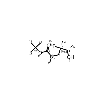 C[C@H](O)[C@](C)(F)CN(C)C(=O)OC(C)(C)C